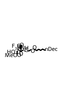 CCCCCCCCCCCCCCCC(=O)OCCSC[C@H](NS(=O)(=O)C(F)(F)F)C(=O)N[C@@H](CO)C(=O)OC